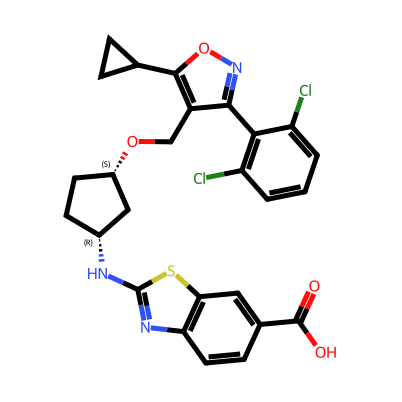 O=C(O)c1ccc2nc(N[C@@H]3CC[C@H](OCc4c(-c5c(Cl)cccc5Cl)noc4C4CC4)C3)sc2c1